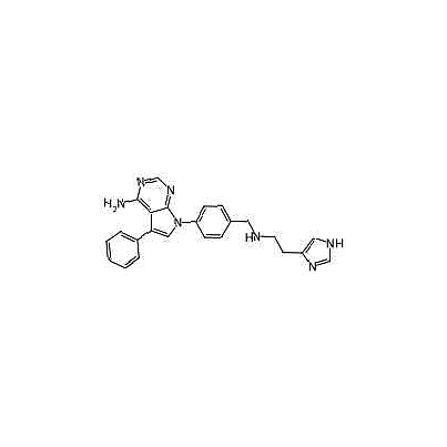 Nc1ncnc2c1c(-c1ccccc1)cn2-c1ccc(CNCCc2c[nH]cn2)cc1